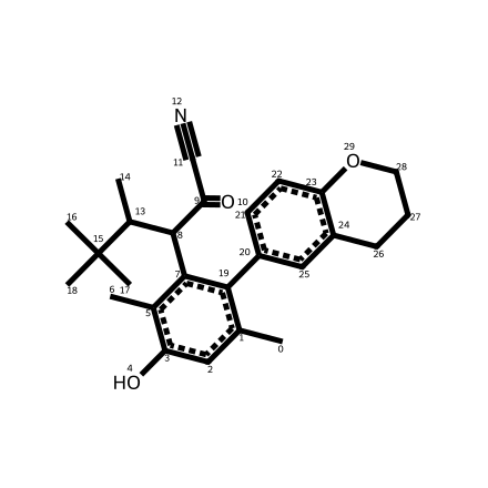 Cc1cc(O)c(C)c(C(C(=O)C#N)C(C)C(C)(C)C)c1-c1ccc2c(c1)CCCO2